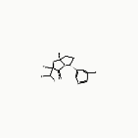 CCC1(C(F)F)C[C@@H]2CC[C@H](c3cncc(F)c3)N2C1=O